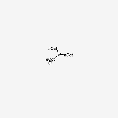 CCCCCCCC[S+](CCCCCCCC)CCCCCCCC.[Cl-]